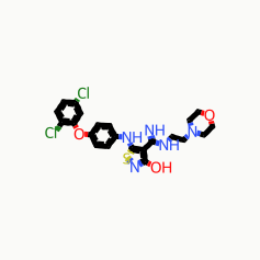 N=C(NCCN1CCOCC1)c1c(O)nsc1Nc1ccc(Oc2cc(Cl)ccc2Cl)cc1